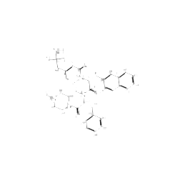 C/C(=C\C(=O)N(C)[C@H](Cc1ccc2ccccc2c1)C(=O)N(C)[C@H](Cc1ccccc1)C(=O)N1CCN(C)CC1)CC(C)(C)N